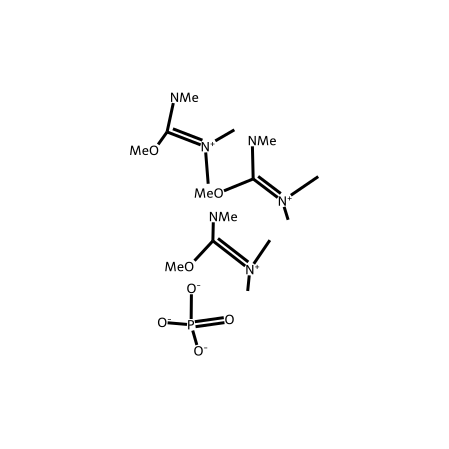 CNC(OC)=[N+](C)C.CNC(OC)=[N+](C)C.CNC(OC)=[N+](C)C.O=P([O-])([O-])[O-]